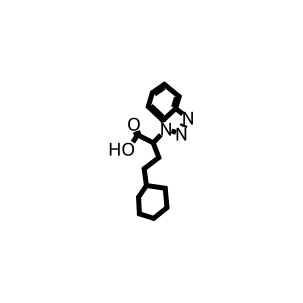 O=C(O)C(CCC1CCCCC1)n1nnc2ccccc21